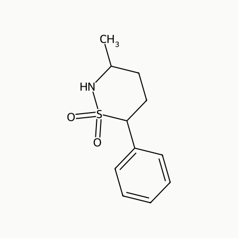 CC1CCC(c2ccccc2)S(=O)(=O)N1